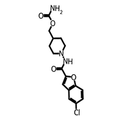 NC(=O)OCC1CCN(NC(=O)c2cc3cc(Cl)ccc3o2)CC1